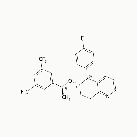 C[C@H](O[C@H]1CCc2ncccc2[C@H]1c1ccc(F)cc1)c1cc(C(F)(F)F)cc(C(F)(F)F)c1